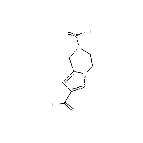 NC(=O)c1cc2n(c1)CCN(C(N)=O)C2